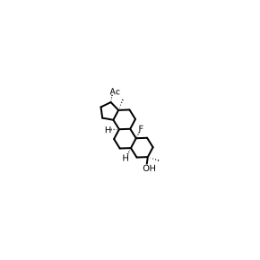 CC(=O)[C@H]1CCC2[C@@H]3CC[C@@H]4C[C@](C)(O)CC[C@]4(F)C3CC[C@@]21C